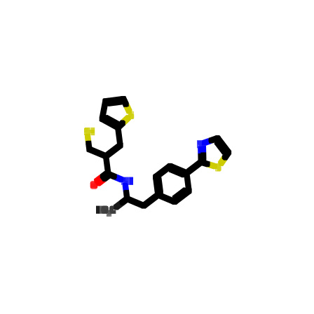 O=C(NC(Cc1ccc(-c2nccs2)cc1)C(=O)O)C(CS)Cc1cccs1